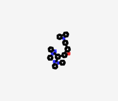 c1ccc(-n2c(-c3cc(-c4ccc5oc6ccc(-c7ccc(-n8c9ccccc9c9ccccc98)cc7)cc6c5c4)cc(-c4nc5ccccc5n4-c4ccccc4)c3)nc3ccccc32)cc1